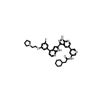 O=C(CC1CCCCC1)Nc1cncc(-c2cnc3[nH]nc(-c4cc5c(-c6cc(F)cc(OCCN7CCCC7)c6)ccnc5[nH]4)c3c2)c1